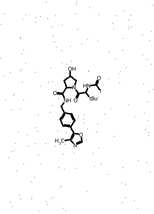 Cc1ncoc1-c1ccc(CNC(=O)C2CC(O)CN2C(=O)C(NC(=O)I)C(C)(C)C)cc1